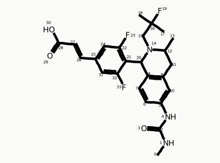 CNC(=O)Nc1ccc2c(c1)CC(C)N(CC(C)(C)F)C2c1c(F)cc(/C=C/C(=O)O)cc1F